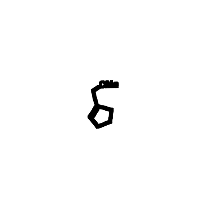 COCC1=CCCC1